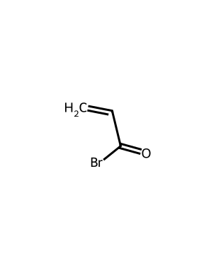 C=CC(=O)Br